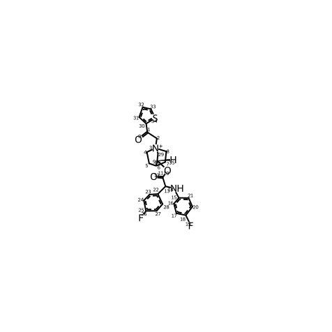 O=C(C[N+]12CCC(CC1)[C@@H](OC(=O)C(Nc1ccc(F)cc1)c1ccc(F)cc1)C2)c1cccs1